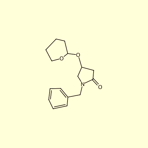 O=C1CC(OC2CCCCO2)CN1Cc1ccccc1